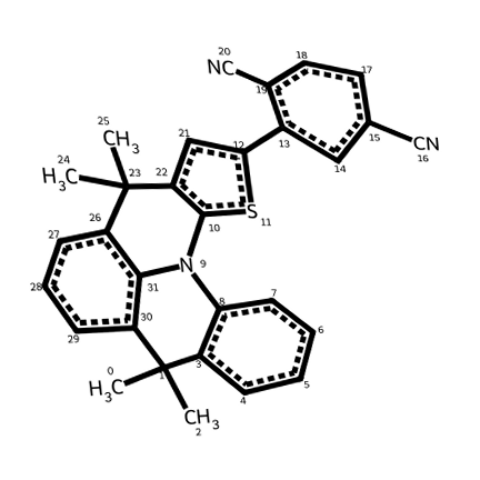 CC1(C)c2ccccc2N2c3sc(-c4cc(C#N)ccc4C#N)cc3C(C)(C)c3cccc1c32